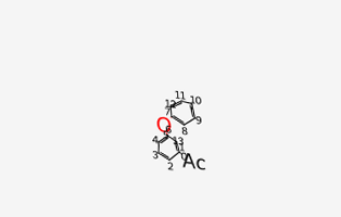 CC(=O)c1cccc(Oc2cc[c]cc2)c1